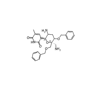 Cc1cn([C@@H]2O[C@](CN)(COCc3ccccc3)C(OCc3ccccc3)CC2N)c(=O)[nH]c1=O